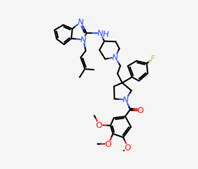 COc1cc(C(=O)N2CCC(CCN3CCC(Nc4nc5ccccc5n4CC=C(C)C)CC3)(c3ccc(F)cc3)C2)cc(OC)c1OC